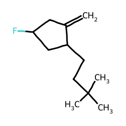 C=C1CC(F)CC1CCC(C)(C)C